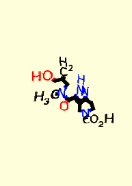 C=C(CO)CN(C)C(=O)c1[nH]nc2c1CN(C(=O)O)CC2